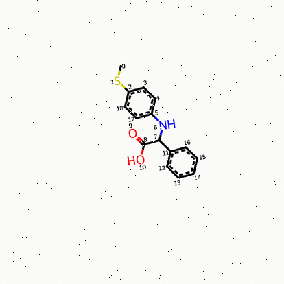 CSc1ccc(NC(C(=O)O)c2ccccc2)cc1